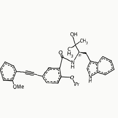 COc1ccccc1C#Cc1ccc(OC(C)C)c(C(=O)N[C@H](Cc2c[nH]c3ccccc23)C(C)(C)O)c1